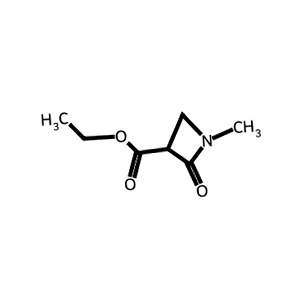 CCOC(=O)C1CN(C)C1=O